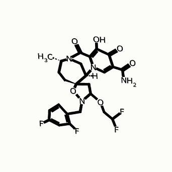 C[C@H]1CC[C@]2(CC(OCC(F)F)N(Cc3ccc(F)cc3F)O2)[C@H]2CN1C(=O)c1c(O)c(=O)c(C(N)=O)cn12